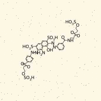 Nc1c(/N=N/c2ccc(S(=O)(=O)CCOS(=O)(=O)O)cc2)c(S(=O)(=O)O)cc2cc(S(=O)(=O)O)c(/N=N/c3cccc(C(=O)NCCS(=O)(=O)CCOS(=O)(=O)O)c3)c(O)c12